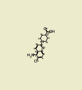 Nc1c(Cl)ccc2nc(N3CCC(C(=O)O)CC3)ccc12